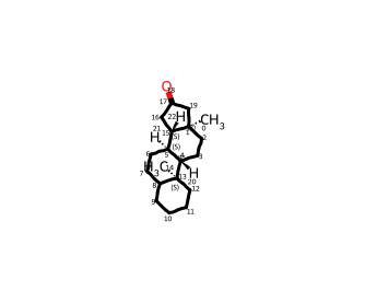 C[C@]12CC[C@H]3[C@@H](CCC4CCCC[C@@]43C)[C@@H]1CC(=O)C2